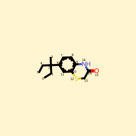 CCC(C)(CC)c1ccc2c(c1)SCC(=O)N2